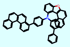 c1ccc(-c2cccc(N(c3ccc(-c4cccc5c4ccc4ccc6ccccc6c45)cc3)c3cccc4oc5ccc6ccccc6c5c34)c2)cc1